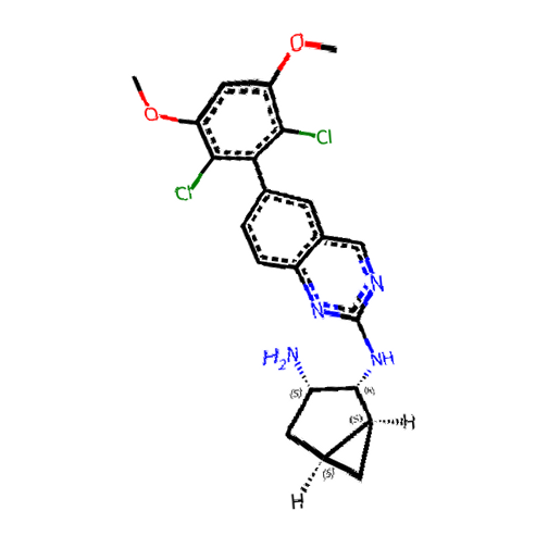 COc1cc(OC)c(Cl)c(-c2ccc3nc(N[C@@H]4[C@H]5C[C@H]5C[C@@H]4N)ncc3c2)c1Cl